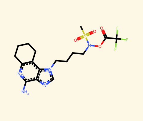 CS(=O)(=O)N(CCCCn1cnc2c(N)nc3c(c21)CCCC3)OC(=O)C(F)(F)F